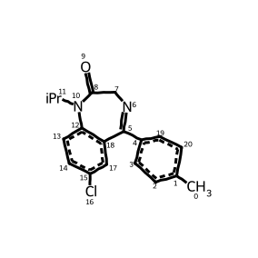 Cc1ccc(C2=NCC(=O)N(C(C)C)c3ccc(Cl)cc32)cc1